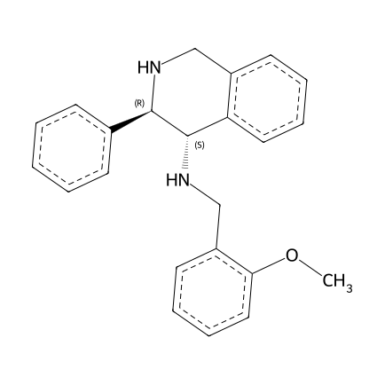 COc1ccccc1CN[C@H]1c2ccccc2CN[C@@H]1c1ccccc1